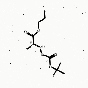 CCCOC(=O)[C@H](C)NSC(=O)OC(C)(C)C